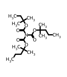 CCCC(C)(C)OC(=O)N(C(=O)OC(C)(C)CC)C(=O)OC(C)(C)CCC